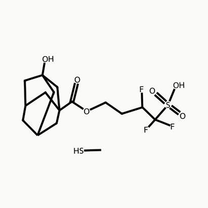 CS.O=C(OCCC(F)C(F)(F)S(=O)(=O)O)C12CC3CC(CC(O)(C3)C1)C2